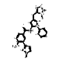 Cn1ccc(-c2cc(C(=O)Nc3cc(Cc4nnnn4C)nn3-c3ccccc3)ccc2C(F)(F)F)n1